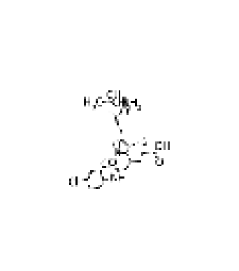 CC(C)(C)C/C(=C/Cc1onc([C@@H](CCC(=O)O)CC(=O)Nc2ccc(Cl)cc2Cl)c1C1CC1)ON